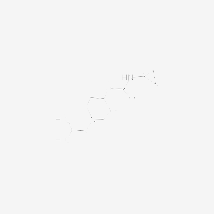 C[C](C)CN1CCC(OC(=O)NC2CC2)CC1